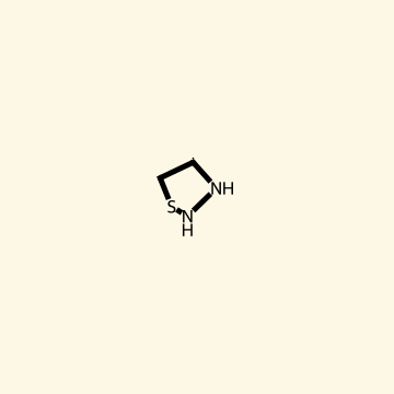 [CH]1CSNN1